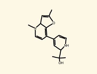 CC1=CC2C(=C(C3=CC(C(C)(C)O)NC=C3)C=CN2C)O1